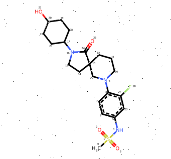 CS(=O)(=O)Nc1ccc(N2CCCC3(CCN(C4CCC(O)CC4)C3=O)C2)c(F)c1